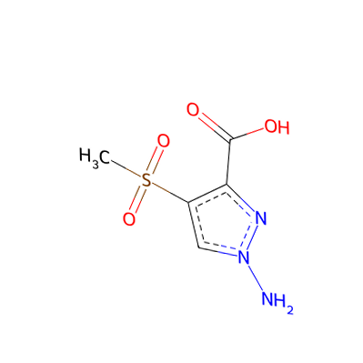 CS(=O)(=O)c1cn(N)nc1C(=O)O